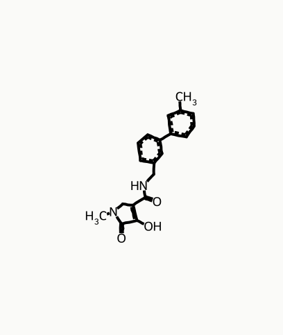 Cc1cccc(-c2cccc(CNC(=O)C3=C(O)C(=O)N(C)C3)c2)c1